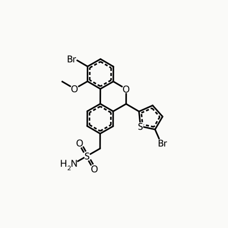 COc1c(Br)ccc2c1-c1ccc(CS(N)(=O)=O)cc1C(c1ccc(Br)s1)O2